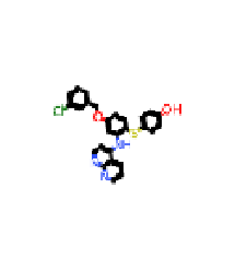 Oc1ccc(Sc2ccc(OCc3cccc(Cl)c3)cc2Nc2ccnc3ncccc23)cc1